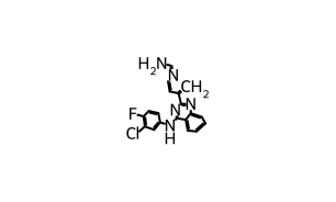 C=C(/C=C\N=C/N)c1nc(Nc2ccc(F)c(Cl)c2)c2ccccc2n1